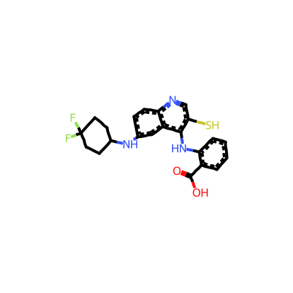 O=C(O)c1ccccc1Nc1c(S)cnc2ccc(NC3CCC(F)(F)CC3)cc12